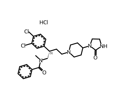 CN(C[C@@H](CCN1CCC(N2CCNC2=O)CC1)c1ccc(Cl)c(Cl)c1)C(=O)c1ccccc1.Cl